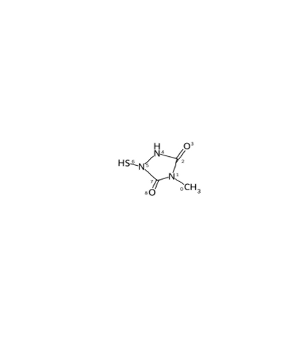 Cn1c(=O)[nH]n(S)c1=O